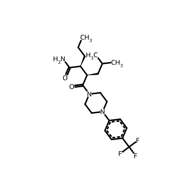 CCC[C@H](C(N)=O)[C@@H](CC(C)C)C(=O)N1CCN(c2ccc(C(F)(F)F)cc2)CC1